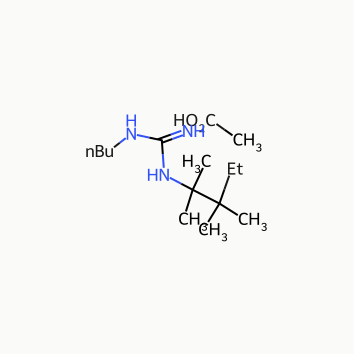 CC(=O)O.CCCCNC(=N)NC(C)(C)C(C)(C)CC